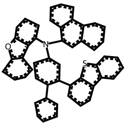 c1ccc(-c2ccc(N(c3cc4ccccc4c4ccccc34)c3cccc4oc5ccccc5c34)cc2-c2cccc3c2sc2ccccc23)cc1